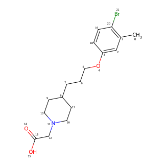 Cc1cc(OCCCC2CCN(CC(=O)O)CC2)ccc1Br